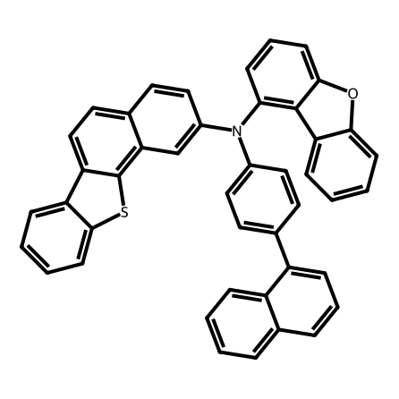 c1ccc2c(-c3ccc(N(c4ccc5ccc6c7ccccc7sc6c5c4)c4cccc5oc6ccccc6c45)cc3)cccc2c1